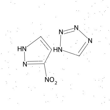 O=[N+]([O-])c1cc[nH]n1.c1nnn[nH]1